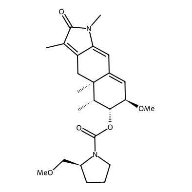 COC[C@@H]1CCCN1C(=O)O[C@H]1[C@H](OC)C=C2C=C3C(=C(C)C(=O)N3C)C[C@]2(C)[C@H]1C